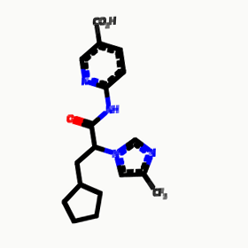 O=C(O)c1ccc(NC(=O)C(CC2CCCC2)n2cnc(C(F)(F)F)c2)nc1